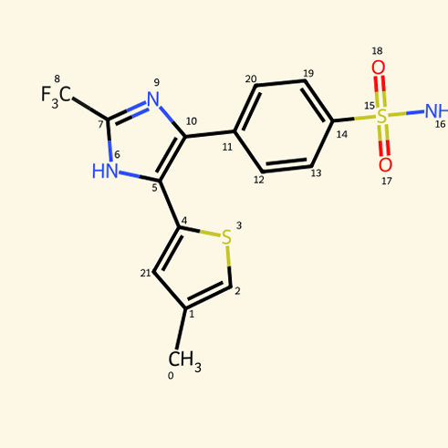 Cc1csc(-c2[nH]c(C(F)(F)F)nc2-c2ccc(S(N)(=O)=O)cc2)c1